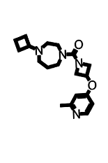 Cc1cc(OC2CN(C(=O)N3CCCN(C4CCC4)CC3)C2)ccn1